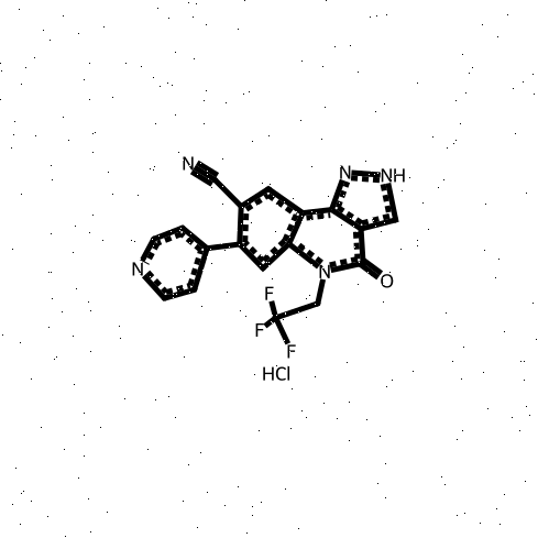 Cl.N#Cc1cc2c3n[nH]cc3c(=O)n(CC(F)(F)F)c2cc1-c1ccncc1